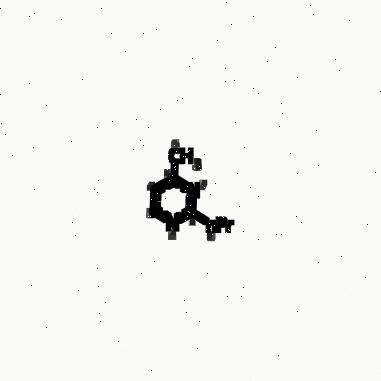 CCCc1n[c]cc(C)n1